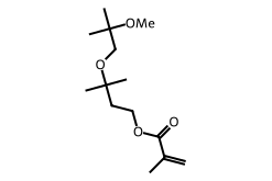 C=C(C)C(=O)OCCC(C)(C)OCC(C)(C)OC